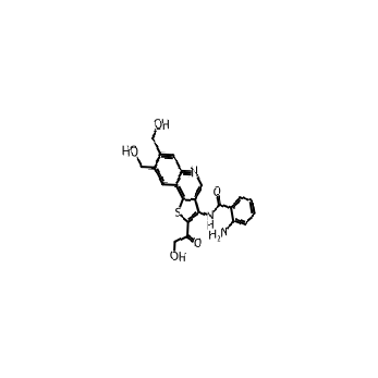 Nc1ccccc1C(=O)Nc1c(C(=O)CO)sc2c1cnc1cc(CO)c(CO)cc12